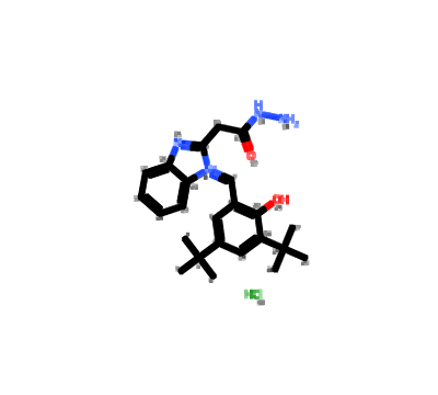 CC(C)(C)c1cc(C=[N+]2C(CC(=O)NN)=Nc3ccccc32)c(O)c(C(C)(C)C)c1.Cl